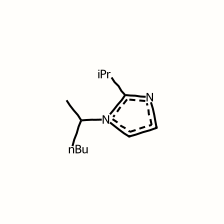 CCCCC(C)n1ccnc1C(C)C